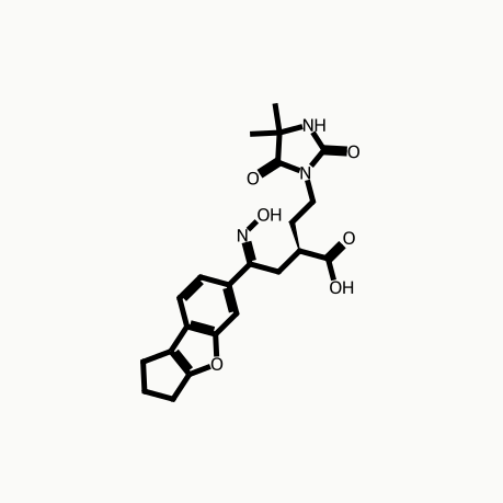 CC1(C)NC(=O)N(CC[C@H](CC(=NO)c2ccc3c4c(oc3c2)CCC4)C(=O)O)C1=O